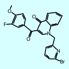 COc1ccc(C(=O)c2cn(Cc3cccc(Br)n3)c3ccccc3c2=O)cc1F